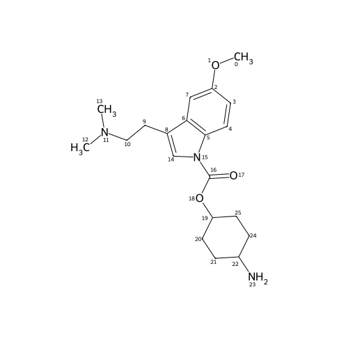 COc1ccc2c(c1)c(CCN(C)C)cn2C(=O)OC1CCC(N)CC1